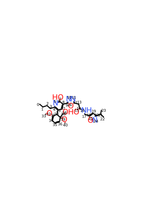 CCCCc1nc(O)c(-c2nnc(CC(=O)NCc3cc(C(C)C)no3)o2)c(O)c1C1C(OC)=CC=CC1(C)OC